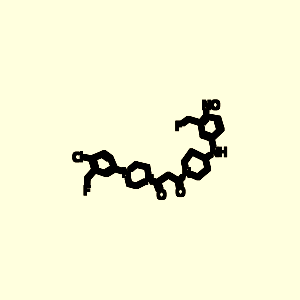 O=Nc1ccc(NC2CCN(C(=O)CC(=O)N3CCN(c4ccc(Cl)c(CF)c4)CC3)CC2)cc1CF